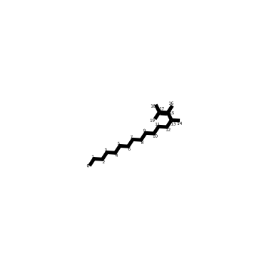 CCCCCCCCCCCCCC(C)C(C)=C(C)C